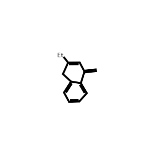 C=C1C=C(CC)Cc2ccccc21